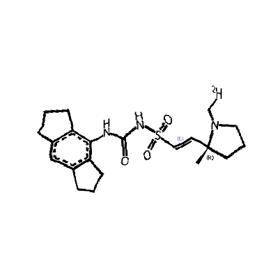 [2H]CN1CCC[C@]1(C)/C=C/S(=O)(=O)NC(=O)Nc1c2c(cc3c1CCC3)CCC2